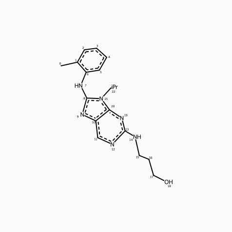 Cc1ccccc1Nc1nc2cnc(NCCCO)nc2n1C(C)C